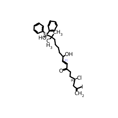 C=C(I)C[C@H](Cl)CCC(=O)/C=C/C(O)CCCCC(C)(C)[Si](O)(c1ccccc1)c1ccccc1